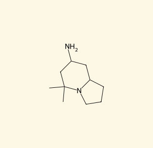 CC1(C)CC(N)CC2CCCN21